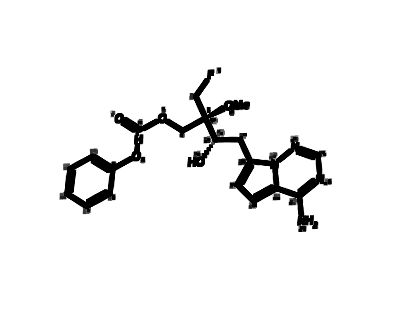 CO[C@](CF)(CO[PH](=O)Oc1ccccc1)[C@@H](O)Cc1ccc2c(N)ncnn12